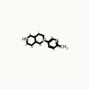 Cc1ccc(N2CCC3CNCCC3C2)cn1